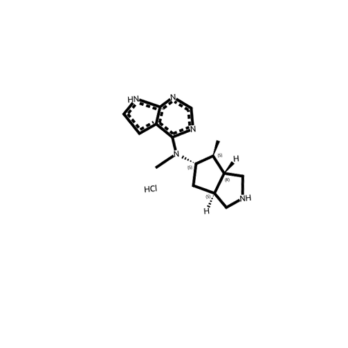 C[C@H]1[C@@H]2CNC[C@H]2C[C@@H]1N(C)c1ncnc2[nH]ccc12.Cl